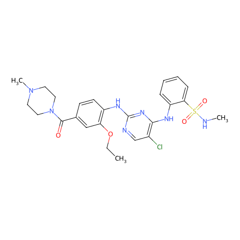 CCOc1cc(C(=O)N2CCN(C)CC2)ccc1Nc1ncc(Cl)c(Nc2ccccc2S(=O)(=O)NC)n1